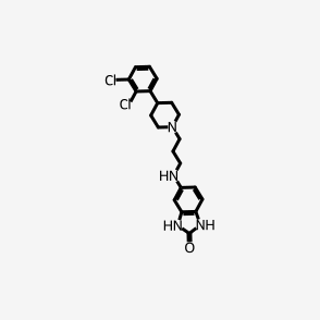 O=c1[nH]c2ccc(NCCCN3CCC(c4cccc(Cl)c4Cl)CC3)cc2[nH]1